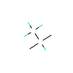 C[Si](C)(F)[Si](F)(F)F